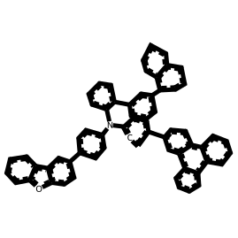 c1cc(-c2ccccc2N(c2ccc(-c3ccc4oc5ccccc5c4c3)cc2)c2ccc(-c3ccc4c5ccccc5c5ccccc5c4c3)cc2)cc(-c2cccc3ccccc23)c1